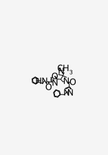 CN1CC2(C1)CN(C(=O)c1cnn(Cc3ccccc3)c1)CC2c1nc(C(=O)NCc2ccccc2)co1